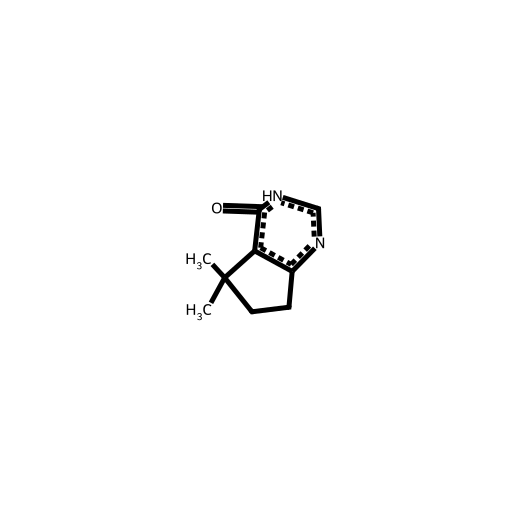 CC1(C)CCc2nc[nH]c(=O)c21